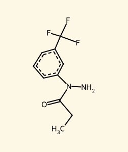 CCC(=O)N(N)c1cccc(C(F)(F)F)c1